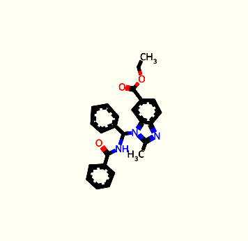 CCOC(=O)c1ccc2nc(C)n(C(NC(=O)c3ccccc3)c3ccccc3)c2c1